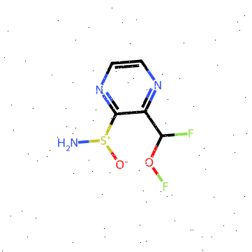 N[S+]([O-])c1nccnc1C(F)OF